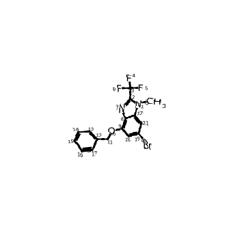 Cn1c(C(F)(F)F)nc2c(OCc3ccccc3)cc(Br)cc21